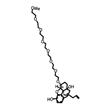 C=CCN1CC[C@]23c4c5ccc(O)c4O[C@@H]2[C@@H](OCCOCCOCCOCCOCCOCCOCCOC)CCC3(O)C1C5